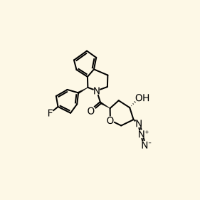 [N-]=[N+]=N[C@H]1CO[C@@H](C(=O)N2CCc3ccccc3[C@@H]2c2ccc(F)cc2)C[C@@H]1O